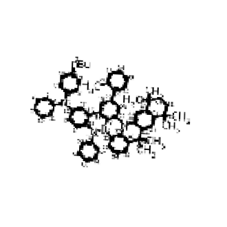 CCCCc1ccc(N(c2ccccc2)c2ccc3c(c2)-c2cc(-c4ccccc4C)cc4c2B(c2cccc5c2N4c2cc4c(cc2C5(C)C)C(C)(C)CCC4(C)C)N3c2ccccc2)cc1